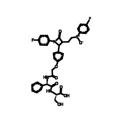 O=C(COc1ccc(C2C(CC[S+]([O-])c3ccc(F)cc3)C(=O)N2c2ccc(F)cc2)cc1)N[C@@H](C(=O)N[C@@H](CO)C(=O)O)c1ccccc1